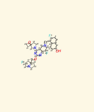 CCc1c(F)ccc2cc(O)cc(-c3ncc4c(N5CCC6(CCO6)C5)nc(OC[C@@]56CCCN5C[C@H](F)C6)nc4c3F)c12